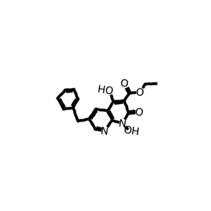 CCOC(=O)c1c(O)c2cc(Cc3ccccc3)cnc2n(O)c1=O